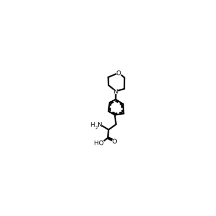 NC(Cc1ccc(N2CCOCC2)cc1)C(=O)O